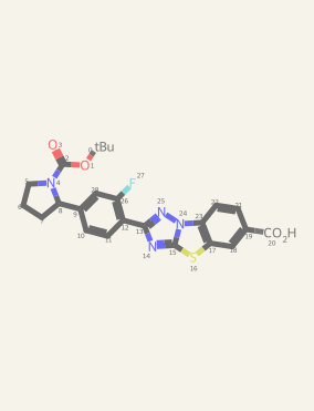 CC(C)(C)OC(=O)N1CCCC1c1ccc(-c2nc3sc4cc(C(=O)O)ccc4n3n2)c(F)c1